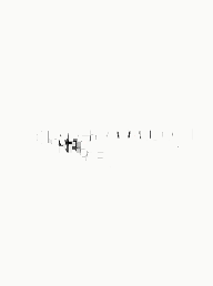 O=C(O)COCCOCCOCCOCCCc1ccc(CCc2c(-c3ccc(C(F)(F)F)cc3)nn(-c3nc4cc(Cl)ccc4[nH]3)c2O)cc1